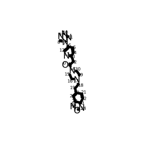 O=C(Cc1ccc(-n2cnnn2)cn1)N1CCN(CCc2ccc3nonc3c2)CC1